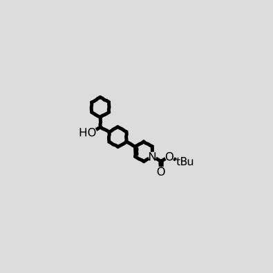 CC(C)(C)OC(=O)N1CC=C(C2CCC(C(O)C3CCCCC3)CC2)CC1